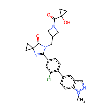 Cn1ncc2cc(-c3ccc(C4=NC5(CC5)C(=O)N4CC4CN(C(=O)C5(O)CC5)C4)cc3Cl)ccc21